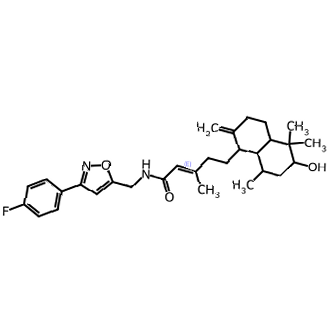 C=C1CCC2C(C(C)CC(O)C2(C)C)C1CC/C(C)=C/C(=O)NCc1cc(-c2ccc(F)cc2)no1